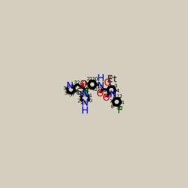 CCOc1ccn(-c2ccc(F)cc2)c(=O)c1C(=O)Nc1ccc(OC2(CN3CCNCC3)Cc3ncccc3S2)c(F)c1